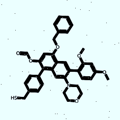 COc1ccc(-c2cc3c(OCc4ccccc4)cc(OC=O)c(-c4ccc(CS)cc4)c3cc2N2CCOCC2)c(OC)c1